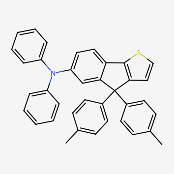 Cc1ccc(C2(c3ccc(C)cc3)c3cc(N(c4ccccc4)c4ccccc4)ccc3-c3sccc32)cc1